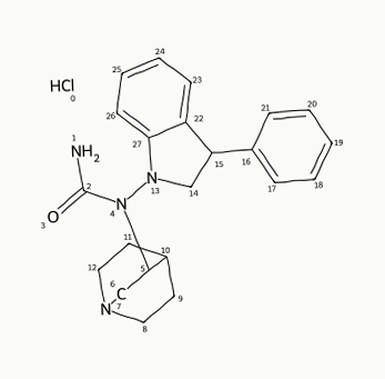 Cl.NC(=O)N(C1CN2CCC1CC2)N1CC(c2ccccc2)c2ccccc21